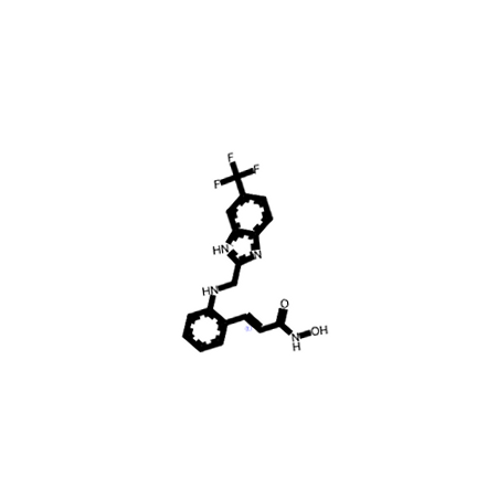 O=C(/C=C/c1ccccc1NCc1nc2ccc(C(F)(F)F)cc2[nH]1)NO